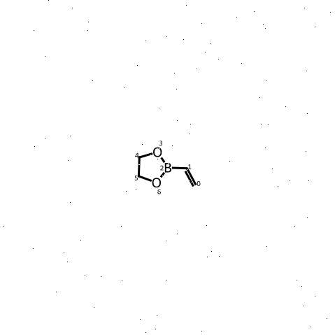 C=CB1OCCO1